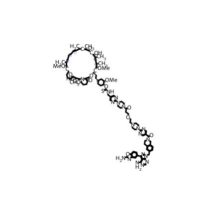 CO[C@H]1CC2CC[C@@H](C)[C@@](O)(O2)C(=O)C(=O)N2CCCC[C@H]2C(=O)O[C@H](CC[C@@H]2CC[C@@H](OC(=S)NCc3cnc(N4CCN(C(=O)CCOCCN5CCN(c6ncc(C(=O)N7CCc8cc(Cn9nc(-c%10ccc%11oc(N)nc%11c%10)c%10c(N)ncnc%109)ccc8C7)cn6)CC5)CC4)nc3)[C@H](OC)C2)C[C@@H](OC)[C@H](C)/C=C(\C)[C@@H](O)CC(=O)[C@H](C)C[C@H](C)/C=C/C=C/C=C/1C